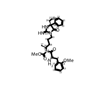 COC(=O)N(C(=O)[C@@H](N)Cc1ccccc1OC)[C@@H](C)CCCN1C(=N)N[C@](CC(C)C)(c2ccccc2)C1=O